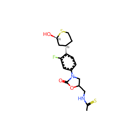 CC(=S)NCC1CN(c2ccc([C@H]3CCS[C@H](O)C3)c(F)c2)C(=O)O1